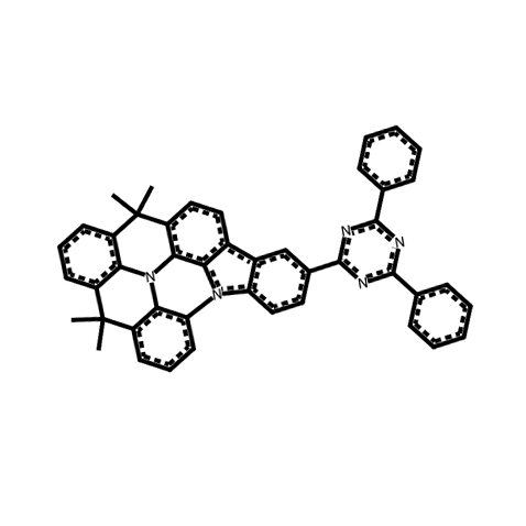 CC1(C)c2cccc3c2N2c4c1cccc4C(C)(C)c1ccc4c5cc(-c6nc(-c7ccccc7)nc(-c7ccccc7)n6)ccc5n-3c4c12